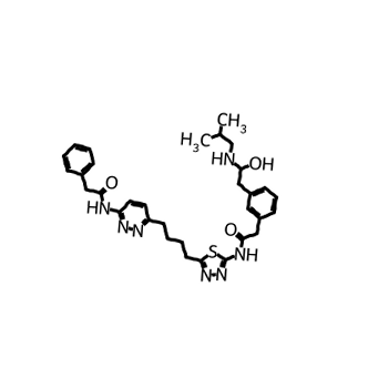 CC(C)CNC(O)Cc1cccc(CC(=O)Nc2nnc(CCCCc3ccc(NC(=O)Cc4ccccc4)nn3)s2)c1